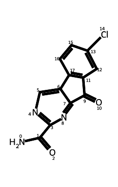 NC(=O)c1ncc2c(n1)C(=O)c1cc(Cl)ccc1-2